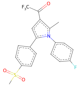 Cc1c(C(=O)C(F)(F)F)cc(-c2ccc(S(C)(=O)=O)cc2)n1-c1ccc(F)cc1